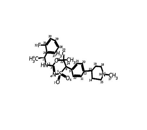 C[C@H](NC1=NS(=O)(=O)C(c2ccc(C3CCN(C)CC3)cc2)C(C)(C)O1)c1ccccc1F